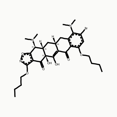 CCCCOc1cc(Br)c(N(C)C)c2c1C(=O)C1=C(O)[C@]3(O)C(=O)c4c(OCCCC)noc4[C@@H](N(C)C)[C@@H]3C[C@@H]1C2